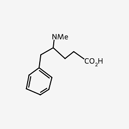 CNC(CCC(=O)O)Cc1ccccc1